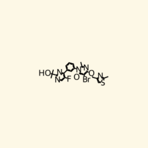 Cc1nc(COc2nc(C)n(-c3cccc(-c4nc(C(C)(C)O)ncc4F)c3)c(=O)c2Br)cs1